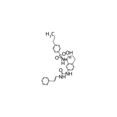 CCCc1ccc(S(=O)(=O)N[C@@H]2c3cc(NC(=O)NC=Cc4ccccc4)ccc3CC[C@H]2O)cc1